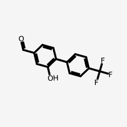 O=Cc1ccc(-c2ccc(C(F)(F)F)cc2)c(O)c1